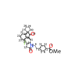 COC(=O)c1ccc(CCN2C(=O)CC[C@@H]2/C=C/C(=O)C2(c3cccc(F)c3)CCCC2)cc1